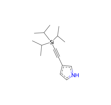 CC(C)[Si](C#Cc1cc[nH]c1)(C(C)C)C(C)C